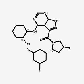 O=C(C1=NNC2NC=NC(N[C@@H]3CCCC[C@H]3O)C12)N1C[C@@H](F)C[C@@H]1C1CC(F)CC(F)C1